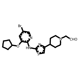 O=CCN1CCC(c2csc(Nc3ncc(Br)cc3OC3CCCC3)n2)CC1